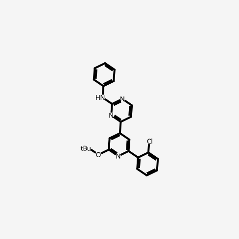 CC(C)(C)Oc1cc(-c2ccnc(Nc3ccccc3)n2)cc(-c2ccccc2Cl)n1